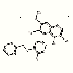 CCOc1cc2ncc(C#N)c(Nc3ccc(OCc4ccccn4)c(Cl)c3)c2cc1[N+](=O)[O-]